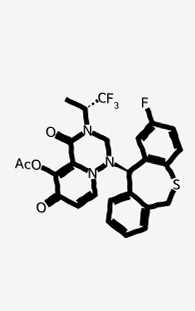 CC(=O)Oc1c2n(ccc1=O)N([C@@H]1c3ccccc3CSc3ccc(F)cc31)CN([C@H](C)C(F)(F)F)C2=O